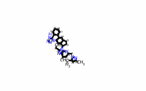 CCc1nc2c(C)cc(Cn3nc(C)cc3C)nc2n1C1CCc2cc(-c3ccccc3-c3nnn[nH]3)ccc21